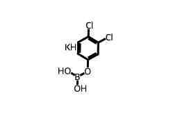 OB(O)Oc1ccc(Cl)c(Cl)c1.[KH]